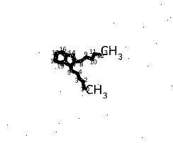 CCCCCC[C]1C(CCCCCC)=Cc2ccccc21